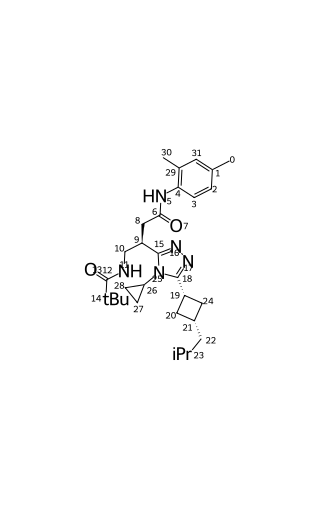 Cc1ccc(NC(=O)C[C@H](CNC(=O)C(C)(C)C)c2nnc([C@H]3C[C@@H](CC(C)C)C3)n2C2CC2)c(C)c1